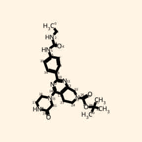 CCNC(=O)Nc1ccc(-c2nc3c(c(N4CCNC(=O)C4)n2)CCN(C(=O)OC(C)(C)C)C3)cc1